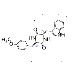 COc1ccc(/C=c2\[nH]c(=O)/c(=C/c3c[nH]c4ccccc34)[nH]c2=O)cc1